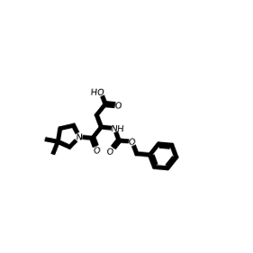 CC1(C)CCN(C(=O)C(CC(=O)O)NC(=O)OCc2ccccc2)C1